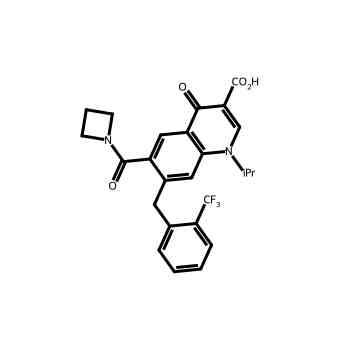 CC(C)n1cc(C(=O)O)c(=O)c2cc(C(=O)N3CCC3)c(Cc3ccccc3C(F)(F)F)cc21